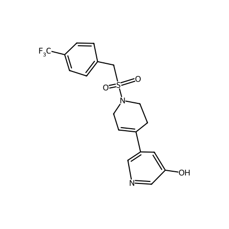 O=S(=O)(Cc1ccc(C(F)(F)F)cc1)N1CC=C(c2cncc(O)c2)CC1